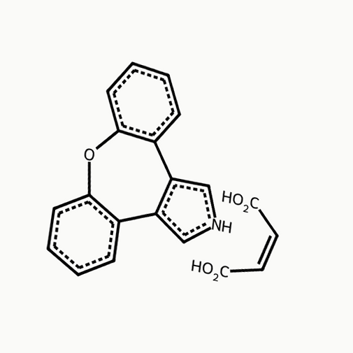 O=C(O)/C=C\C(=O)O.c1ccc2c(c1)Oc1ccccc1-c1c[nH]cc1-2